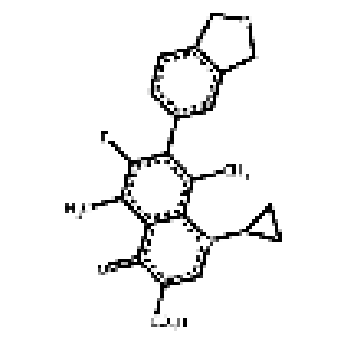 Cc1c(F)c(-c2ccc3c(c2)CNC3)c(C)c2c1c(=O)c(C(=O)O)cn2C1CC1